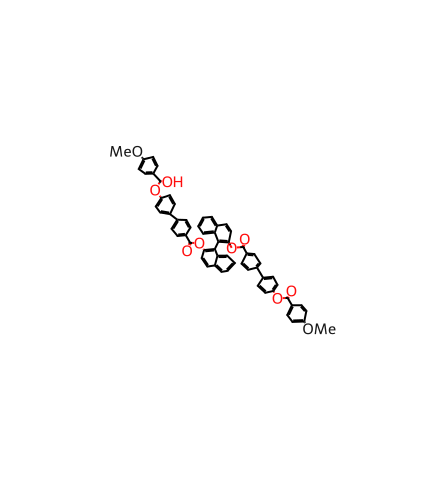 COc1ccc(C(=O)Oc2ccc(-c3ccc(C(=O)Oc4ccc5ccccc5c4-c4c(OC(=O)c5ccc(-c6ccc(OC(O)c7ccc(OC)cc7)cc6)cc5)ccc5ccccc45)cc3)cc2)cc1